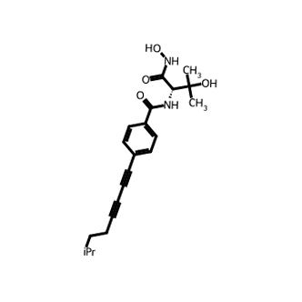 CC(C)CCC#CC#Cc1ccc(C(=O)N[C@H](C(=O)NO)C(C)(C)O)cc1